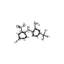 Nc1cc(C(F)(F)F)ccc1Nc1ccc(F)cc1[N+](=O)[O-]